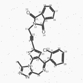 Cc1nnc2n1-c1sc(C#CCN3C(=O)c4ccccc4C3=O)cc1C(c1ccccc1Cl)=NC2